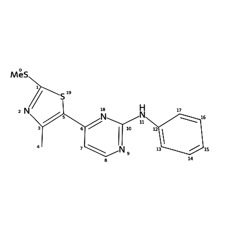 CSc1nc(C)c(-c2ccnc(Nc3ccccc3)n2)s1